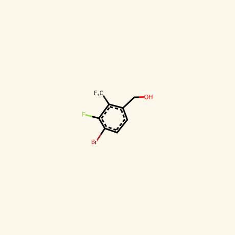 OCc1ccc(Br)c(F)c1C(F)(F)F